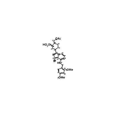 COc1ccc(CNc2nccn3c(C4CCC(COC(C)=O)N(C(=O)O)C4)nc(Br)c23)c(OC)c1